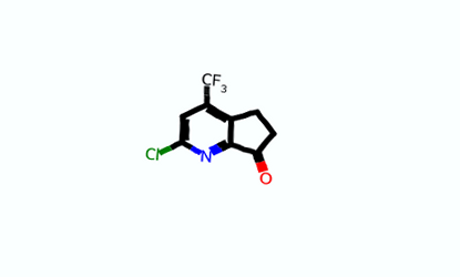 O=C1CCc2c(C(F)(F)F)cc(Cl)nc21